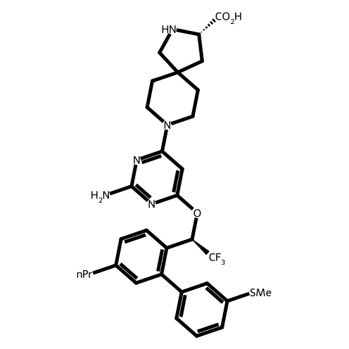 CCCc1ccc([C@@H](Oc2cc(N3CCC4(CC3)CN[C@H](C(=O)O)C4)nc(N)n2)C(F)(F)F)c(-c2cccc(SC)c2)c1